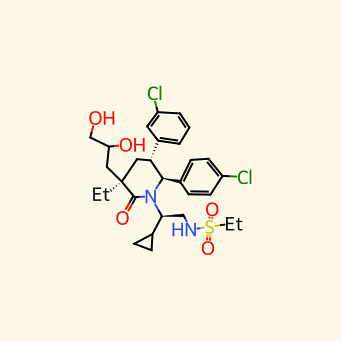 CC[C@]1(CC(O)CO)C[C@H](c2cccc(Cl)c2)[C@@H](c2ccc(Cl)cc2)N([C@@H](CNS(=O)(=O)CC)C2CC2)C1=O